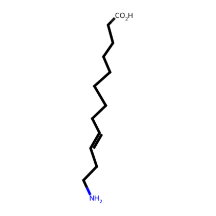 NCC/C=C/CCCCCCCC(=O)O